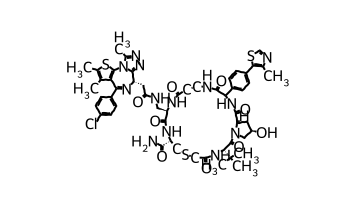 Cc1ncsc1-c1ccc(C2NC(=O)[C@@H]3C[C@@H](O)CN3C(=O)[C@H](C(C)(C)C)NC(=O)CSC[C@H](C(N)=O)NC(=O)[C@@H](CNC(=O)C[C@@H]3N=C(c4ccc(Cl)cc4)c4c(sc(C)c4C)-n4c(C)nnc43)NC(=O)CCNC2=O)cc1